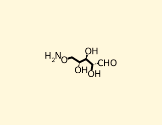 NOC[C@@H](O)[C@@H](O)[C@@H](O)C=O